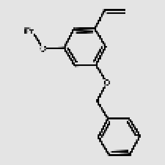 C=Cc1cc(OCc2ccccc2)cc(OC(C)C)c1